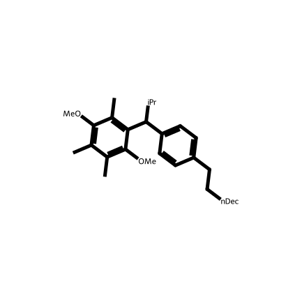 [CH2]C(C)[C](c1ccc(CCCCCCCCCCCC)cc1)c1c(C)c(OC)c(C)c(C)c1OC